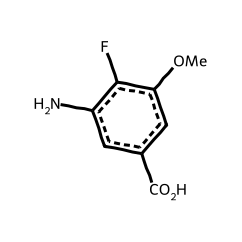 COc1cc(C(=O)O)cc(N)c1F